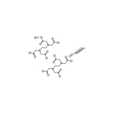 O=C([O-])CN(CCN(CC(=O)[O-])CC(=O)[O-])CC(=O)[O-].O=C([O-])CN(CCN(CC(=O)[O-])CC(=O)[O-])CC(=O)[O-].[Cl-].[Cl-].[Zn+2].[Zn+2].[Zn+2].[Zn+2].[Zn+2]